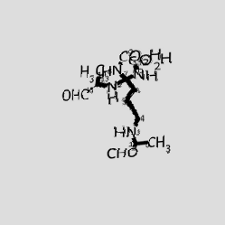 CC(C=O)NCCCC(NC(=O)O)(NC(=O)O)N[C@@H](C)C=O